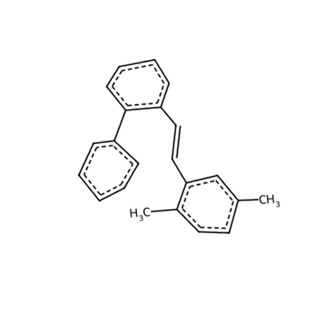 Cc1ccc(C)c(/C=C/c2ccccc2-c2ccccc2)c1